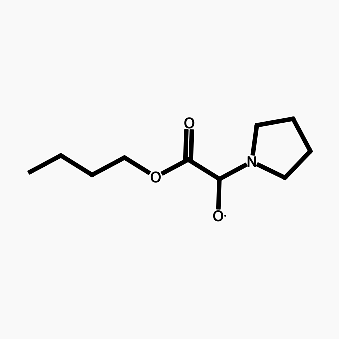 CCCCOC(=O)C([O])N1CCCC1